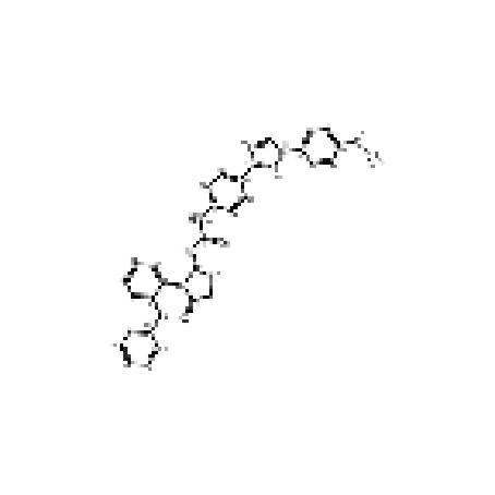 O=C(/N=C1\SCC(=O)N1c1ccccc1Cc1ccccc1)Nc1ccc(-c2ncn(-c3ccc(OC(F)(F)F)cc3)n2)cc1